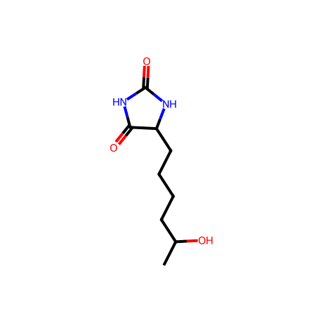 CC(O)CCCCC1NC(=O)NC1=O